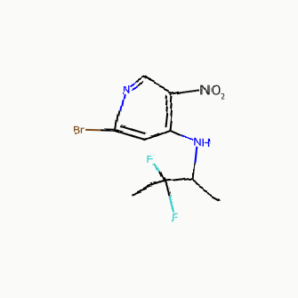 CC(Nc1cc(Br)ncc1[N+](=O)[O-])C(C)(F)F